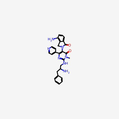 Cn1c(NCC(N)Cc2ccccc2)nc(-c2ccncc2)c(N2Cc3c(N)cccc3C2=O)c1=O